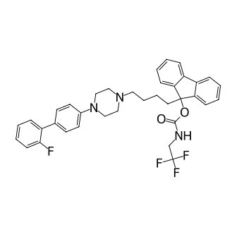 O=C(NCC(F)(F)F)OC1(CCCCN2CCN(c3ccc(-c4ccccc4F)cc3)CC2)c2ccccc2-c2ccccc21